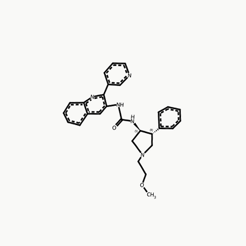 COCCN1C[C@@H](NC(=O)Nc2cc3ccccc3nc2-c2cccnc2)[C@H](c2ccccc2)C1